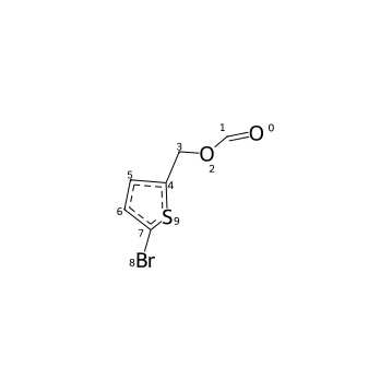 O=COCc1ccc(Br)s1